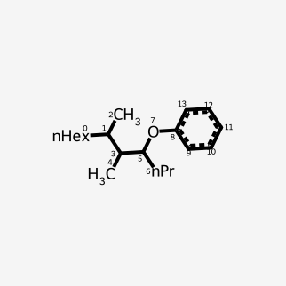 CCCCCCC(C)C(C)C(CCC)Oc1ccccc1